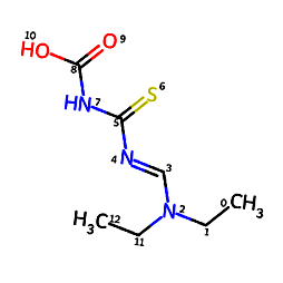 CCN(C=NC(=S)NC(=O)O)CC